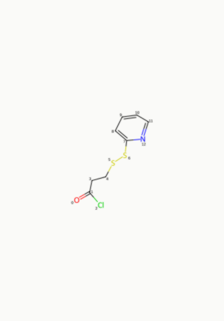 O=C(Cl)CCSSc1ccccn1